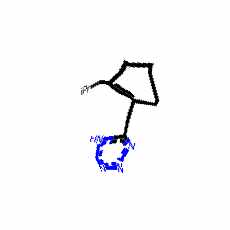 CC(C)C1=C(c2nnn[nH]2)CCC1